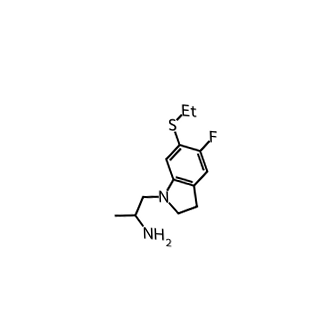 CCSc1cc2c(cc1F)CCN2CC(C)N